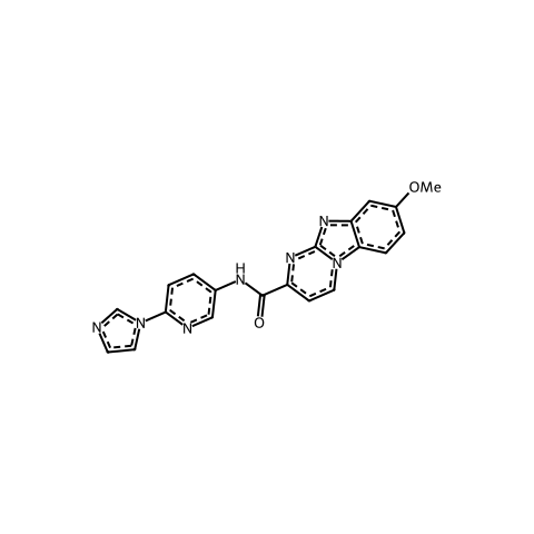 COc1ccc2c(c1)nc1nc(C(=O)Nc3ccc(-n4ccnc4)nc3)ccn12